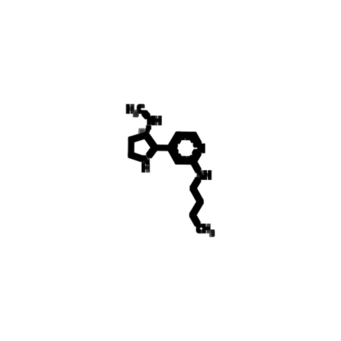 CCCCNc1cc(C2NCC[C@@H]2NC)ccn1